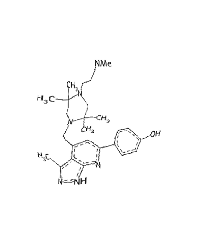 CNCCN1CC(C)(C)N(Cc2cc(-c3ccc(O)cc3)nc3[nH]nc(C)c23)CC1(C)C